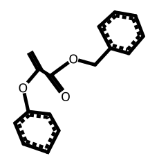 C=C(Oc1ccccc1)C(=O)OCc1ccccc1